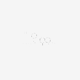 CCOC(=O)Nc1cc(O)ccc1-c1cc(=O)c2nc(O)ccc2o1